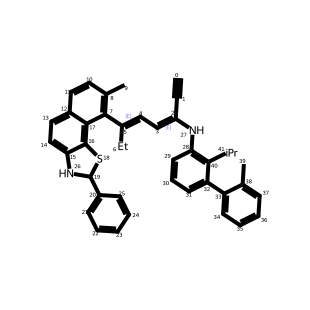 C#C/C(=C\C=C(/CC)c1c(C)ccc2ccc3c(c12)SC(c1ccccc1)N3)Nc1cccc(-c2ccccc2C)c1C(C)C